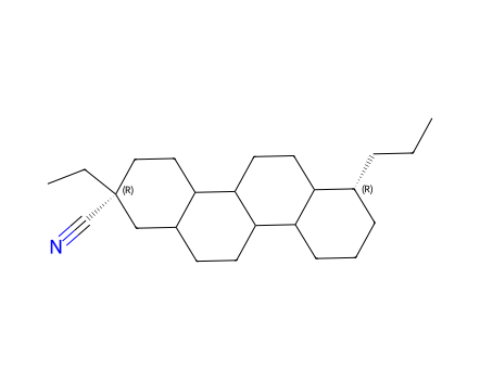 CCC[C@@H]1CCCC2C3CCC4C[C@@](C#N)(CC)CCC4C3CCC21